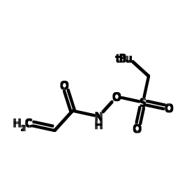 C=CC(=O)NOS(=O)(=O)CC(C)(C)C